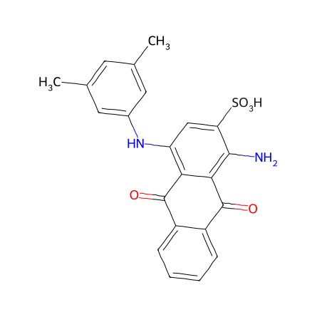 Cc1cc(C)cc(Nc2cc(S(=O)(=O)O)c(N)c3c2C(=O)c2ccccc2C3=O)c1